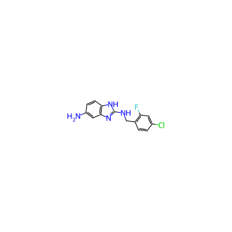 Nc1ccc2[nH]c(NCc3ccc(Cl)cc3F)nc2c1